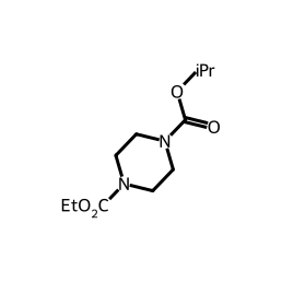 CCOC(=O)N1CCN(C(=O)OC(C)C)CC1